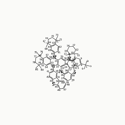 CC(C)(C)c1ccc2c(c1)C1(C)CCCCC1(C)N2c1cc2c3c(c1)N(c1cccc4sc5ccccc5c14)c1c(ccc4sc5ccccc5c14)B3c1cc3c(cc1N2c1ccc2c(c1)C(C)(C)CCC2(C)C)C(C)(C)CCC3(C)C